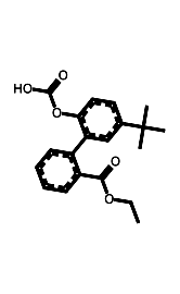 CCOC(=O)c1ccccc1-c1cc(C(C)(C)C)ccc1OC(=O)O